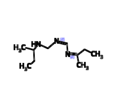 CC/C(C)=N\C=N/CNC(C)CC